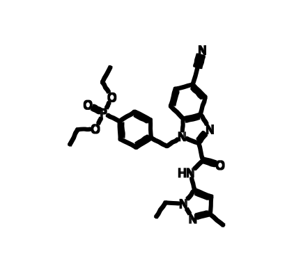 CCOP(=O)(OCC)c1ccc(Cn2c(C(=O)Nc3cc(C)nn3CC)nc3cc(C#N)ccc32)cc1